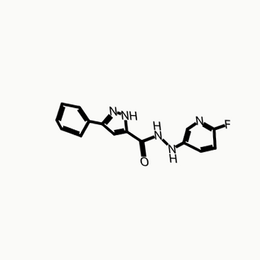 O=C(NNc1ccc(F)nc1)c1cc(-c2ccccc2)n[nH]1